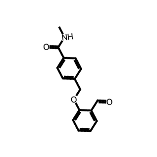 CNC(=O)c1ccc(COc2ccccc2C=O)cc1